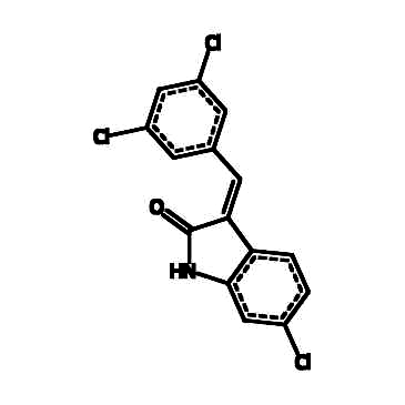 O=C1Nc2cc(Cl)ccc2C1=Cc1cc(Cl)cc(Cl)c1